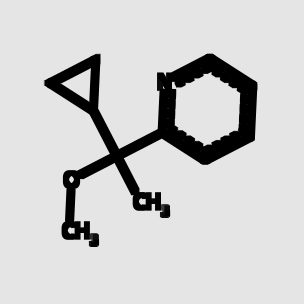 COC(C)(c1ccccn1)C1CC1